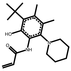 C=CC(=O)Nc1c(O)c(C(C)(C)C)c(C)c(C)c1N1CCCCC1